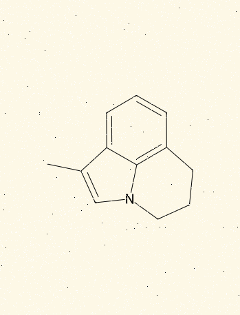 Cc1cn2c3c(cccc13)CCC2